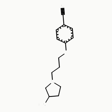 N#Cc1ccc(OCCCN2CCC(N)C2)cc1